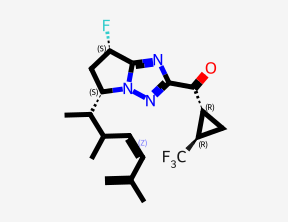 C=C(C)/C=C\C(C)C(C)[C@@H]1C[C@H](F)c2nc(C(=O)[C@@H]3C[C@H]3C(F)(F)F)nn21